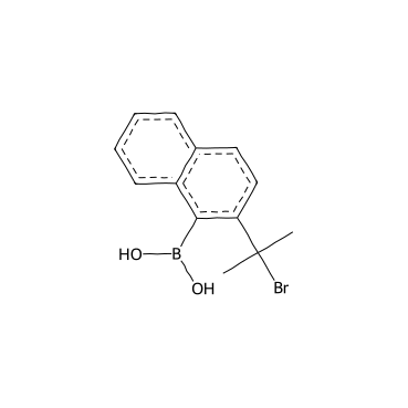 CC(C)(Br)c1ccc2ccccc2c1B(O)O